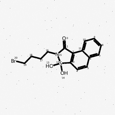 O=C1c2c(ccc3ccccc23)S(O)(O)N1CCCCBr